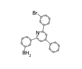 Bc1cccc(-c2cc(-c3ccccc3)cc(-c3cccc(Br)c3)n2)c1